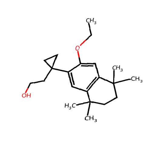 CCOc1cc2c(cc1C1(CCO)CC1)C(C)(C)CCC2(C)C